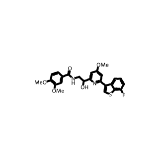 COc1cc(-c2csc3c(F)cccc23)nc(C(O)CNC(=O)c2ccc(OC)c(OC)c2)c1